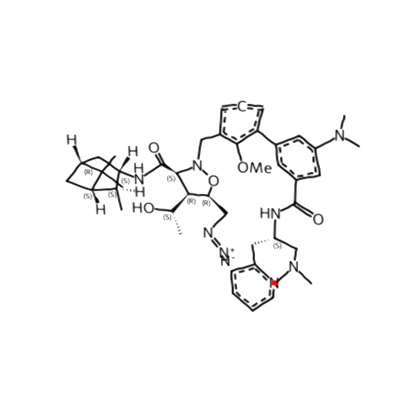 COc1c(CN2O[C@@H](CN=[N+]=[N-])[C@@H]([C@H](C)O)[C@H]2C(=O)N[C@H]2C[C@H]3C[C@@H]([C@@H]2C)C3(C)C)cccc1-c1cc(C(=O)N[C@@H](Cc2ccccn2)CN(C)C)cc(N(C)C)c1